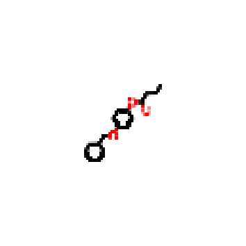 CCCC(=O)Oc1ccc(OCc2ccccc2)cc1